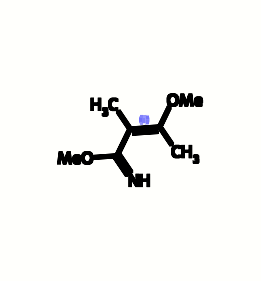 COC(=N)/C(C)=C(\C)OC